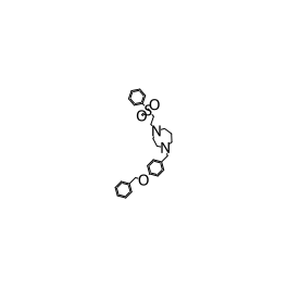 O=S(=O)(CCN1CCCN(Cc2ccc(OCc3ccccc3)cc2)CC1)c1ccccc1